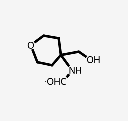 O=[C]NC1(CO)CCOCC1